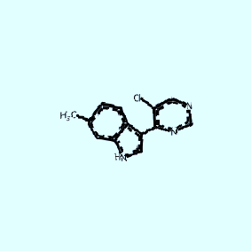 Cc1ccc2c(-c3ncncc3Cl)c[nH]c2c1